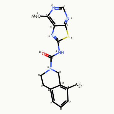 COc1ncnc2sc(NC(=O)N3CCc4cccc(C(F)(F)F)c4C3)nc12